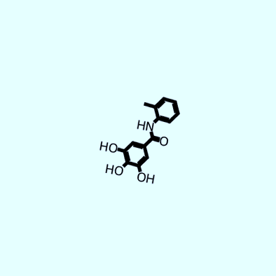 Cc1ccccc1NC(=O)c1cc(O)c(O)c(O)c1